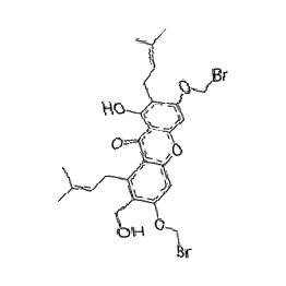 CC(C)=CCc1c(OCBr)cc2oc3cc(OCBr)c(CO)c(CC=C(C)C)c3c(=O)c2c1O